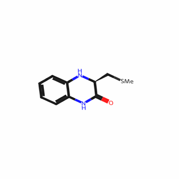 CSC[C@@H]1Nc2ccccc2NC1=O